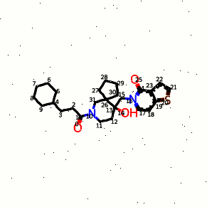 O=C(CCC1CCCCC1)N1CCC(O)(Cn2ccc3sccc3c2=O)C2(CCCC2)C1